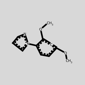 COc1ccc(-n2cc[c]n2)c(OC)c1